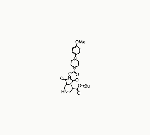 COc1ccc(N2CCN(C(=O)ON3C(=O)C4CNCC(C(=O)OC(C)(C)C)N4C3=O)CC2)cc1